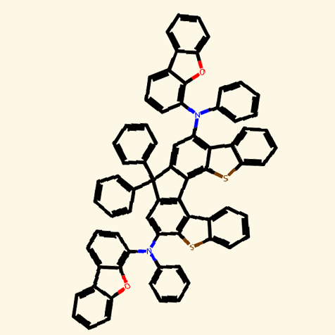 c1ccc(N(c2cccc3c2oc2ccccc23)c2cc3c(c4c2sc2ccccc24)-c2c(cc(N(c4ccccc4)c4cccc5c4oc4ccccc45)c4c2sc2ccccc24)C3(c2ccccc2)c2ccccc2)cc1